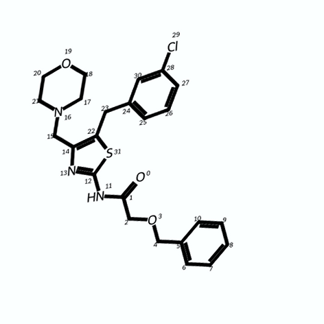 O=C(COCc1ccccc1)Nc1nc(CN2CCOCC2)c(Cc2cccc(Cl)c2)s1